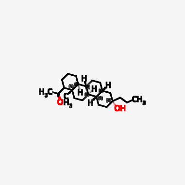 CCC[C@@]1(O)CC[C@H]2[C@H](CC[C@@H]3[C@@H]2CC[C@]2(C)C(C(C)=O)CCC[C@@H]32)C1